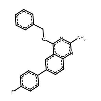 Nc1nc(OCc2ccccc2)c2cc(-c3ccc(F)cc3)ccc2n1